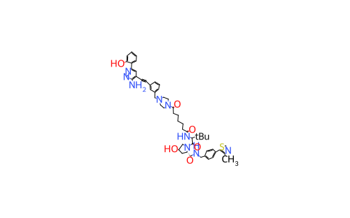 Cc1ncsc1-c1ccc(CNC(=O)[C@@H]2C[C@@H](O)CN2C(=O)C(NC(=O)CCCCCC(=O)N2CCN(Cc3cccc(C#Cc4cc(-c5ccccc5O)nnc4N)c3)CC2)C(C)(C)C)cc1